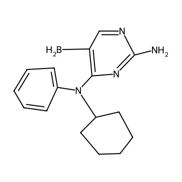 Bc1cnc(N)nc1N(c1ccccc1)C1CCCCC1